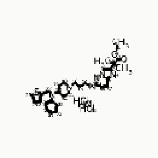 CCOC(=O)C(C)(C)c1cn2nc(NCCCN3CCC(N(Cc4cccs4)c4ccccc4)CC3)ccc2n1.Cl.Cl.Cl